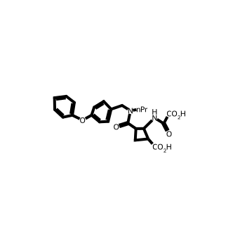 CCCN(Cc1ccc(Oc2ccccc2)cc1)C(=O)C1CC(C(=O)O)C1NC(=O)C(=O)O